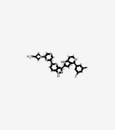 Cc1cc(F)cc(-c2nccc3[nH]c(-c4n[nH]c5ccc(-c6cncc(N7CC(N)C7)n6)nc45)cc23)c1